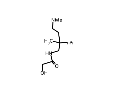 CCCC(C)(CCNC)CNC(=O)CO